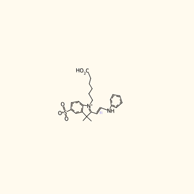 CC1(C)C(/C=C/Nc2ccccc2)=[N+](CCCCCC(=O)O)c2ccc(S(=O)(=O)[O-])cc21